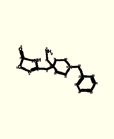 NCC1(Cc2noc(=O)[nH]2)CCN(Cc2ccccc2)CC1